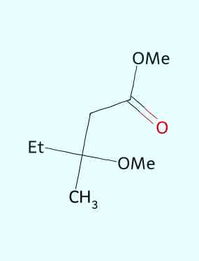 CCC(C)(CC(=O)OC)OC